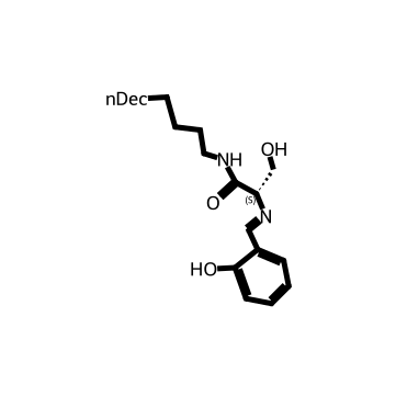 CCCCCCCCCCCCCCNC(=O)[C@H](CO)N=Cc1ccccc1O